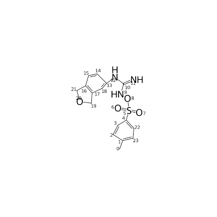 Cc1ccc(S(=O)(=O)ONC(=N)Nc2ccc3c(c2)COC3)cc1